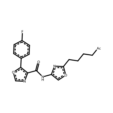 CC(=O)CCCCc1nc(NC(=O)c2ncoc2-c2ccc(F)cc2)co1